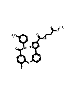 COC(=O)CCNC(=O)c1c[nH]c(-c2cc(Oc3cc(C(=O)Nc4cccc(C)c4)ccc3F)ccn2)c1